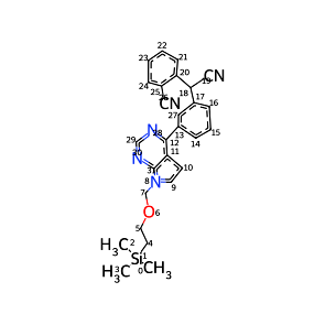 C[Si](C)(C)CCOCn1ccc2c(-c3cccc(C(C#N)c4ccccc4C#N)c3)ncnc21